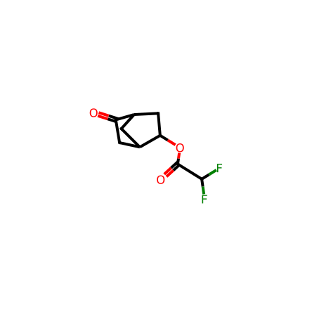 O=C(OC1CC2CC1CC2=O)C(F)F